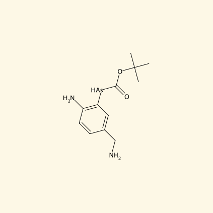 CC(C)(C)OC(=O)[AsH]c1cc(CN)ccc1N